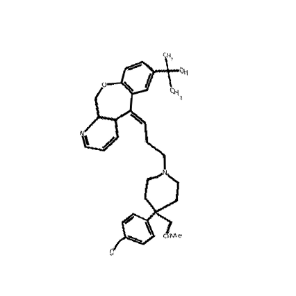 COCC1(c2ccc(Cl)cc2)CCN(CC/C=C2/c3cc(C(C)(C)O)ccc3OCC3N=CC=CC23)CC1